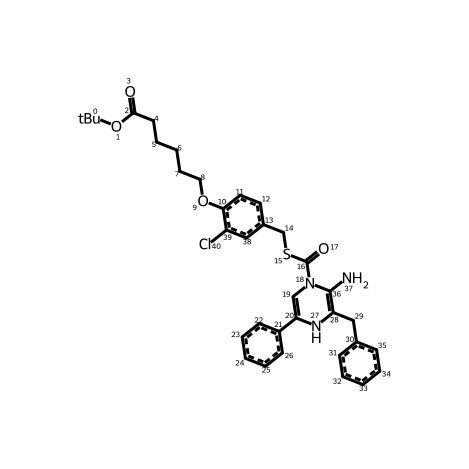 CC(C)(C)OC(=O)CCCCCOc1ccc(CSC(=O)N2C=C(c3ccccc3)NC(Cc3ccccc3)=C2N)cc1Cl